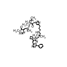 COC(=O)/C(=C/N(C)C[C@H](C)NC(=O)[C@H](CC(C)C)n1cc(CCCNCC(C)(C)CNc2nn3c(-c4ccccc4)nnc3cc2C2CCC2)nn1)N=N